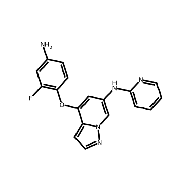 Nc1ccc(Oc2cc(Nc3ccccn3)cn3nccc23)c(F)c1